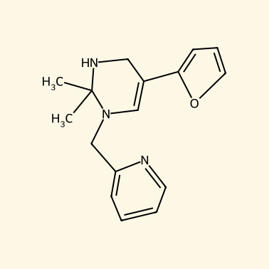 CC1(C)NCC(c2ccco2)=CN1Cc1ccccn1